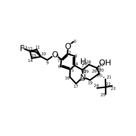 COc1cc2c(cc1OCC13CC(F)(C1)C3)CCN1C[C@@H](CC(C)(C)C)[C@H](O)C[C@H]21